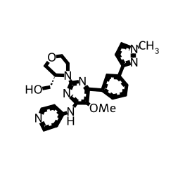 COc1c(Nc2ccncc2)nc(N2CCOC[C@H]2CO)nc1-c1cccc(-c2ccn(C)n2)c1